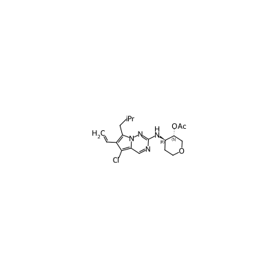 C=Cc1c(Cl)c2cnc(N[C@@H]3CCOC[C@H]3OC(C)=O)nn2c1CC(C)C